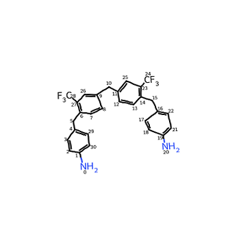 Nc1ccc(Cc2ccc(Cc3ccc(Cc4ccc(N)cc4)c(C(F)(F)F)c3)cc2C(F)(F)F)cc1